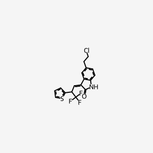 O=C1Nc2ccc(CCCl)cc2C1=CC(c1cccs1)C(F)(F)F